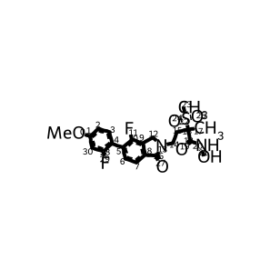 COc1ccc(-c2ccc3c(c2F)CN(CCC(C)(C(=O)NO)S(C)(=O)=O)C3=O)c(F)c1